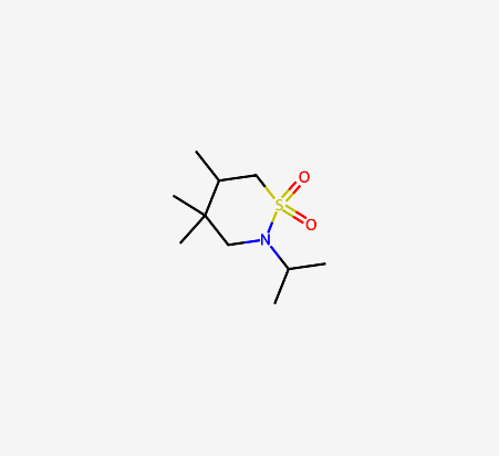 CC(C)N1CC(C)(C)C(C)CS1(=O)=O